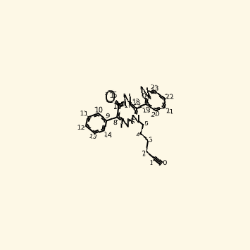 C#CCCCCn1nc(-c2ccccc2)c(=O)nc1-c1ccccn1